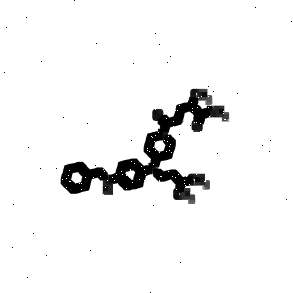 CC(C)CCN(c1ccc(NCC2CCCCC2)cc1)C1CCN(C(=O)[CH]CC(C)C(N)=O)CC1